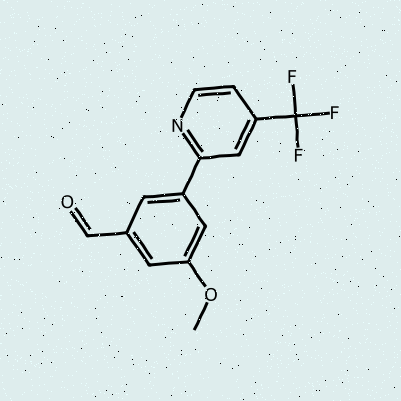 COc1cc(C=O)cc(-c2cc(C(F)(F)F)ccn2)c1